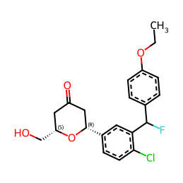 CCOc1ccc(C(F)c2cc([C@H]3CC(=O)C[C@@H](CO)O3)ccc2Cl)cc1